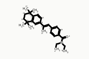 CCN(CC)C(=O)c1ccc(/C=C(\C)c2ccc3c(c2)C(C)(C)CCC3(C)C)cc1